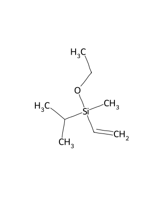 C=C[Si](C)(OCC)C(C)C